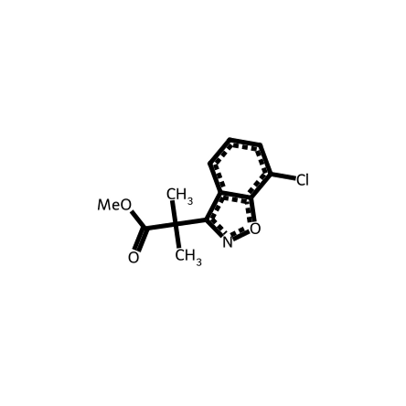 COC(=O)C(C)(C)c1noc2c(Cl)cccc12